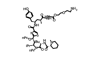 CCCO[C@H](C[C@H](C(C)C)N(CCC)C(=O)[C@@H](NC(=O)[C@H]1CCCCN1C)[C@@H](C)CC)c1nc(C(=O)N[C@@H](Cc2ccc(O)cc2)C[C@H](C)C(=O)NNC(=O)OCCOCCN)cs1